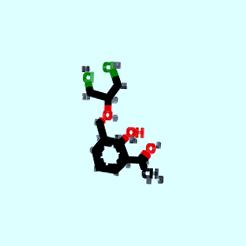 CC(=O)c1cccc(COC(CCl)CCl)c1O